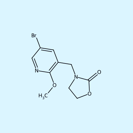 COc1ncc(Br)cc1CN1CCOC1=O